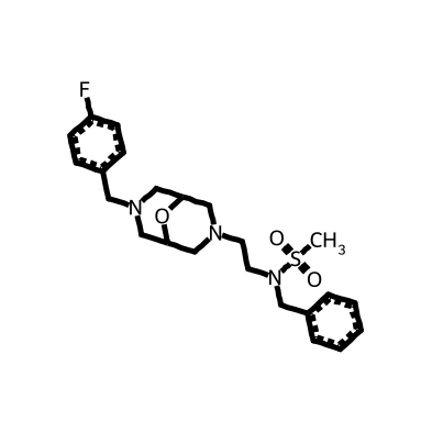 CS(=O)(=O)N(CCN1CC2CN(Cc3ccc(F)cc3)CC(C1)O2)Cc1ccccc1